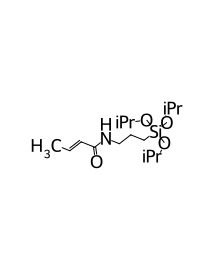 CC=CC(=O)NCCC[Si](OC(C)C)(OC(C)C)OC(C)C